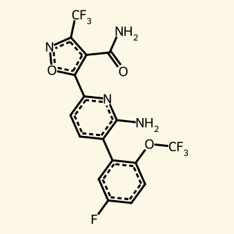 NC(=O)c1c(C(F)(F)F)noc1-c1ccc(-c2cc(F)ccc2OC(F)(F)F)c(N)n1